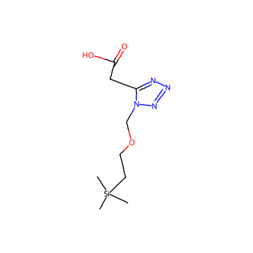 C[Si](C)(C)CCOCn1nnnc1CC(=O)O